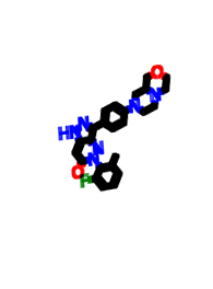 Cc1cccc(F)c1-n1nc2c(-c3ccc(N4CCN5CCOCC5C4)cc3)n[nH]c2cc1=O